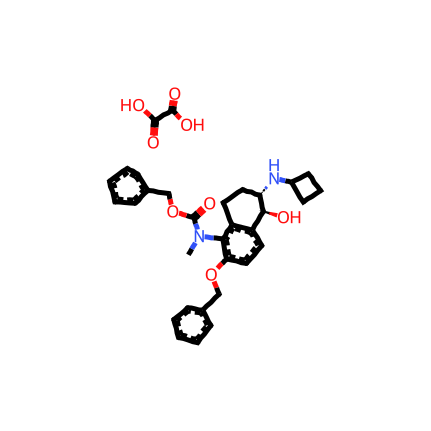 CN(C(=O)OCc1ccccc1)c1c(OCc2ccccc2)ccc2c1CC[C@H](NC1CCC1)[C@H]2O.O=C(O)C(=O)O